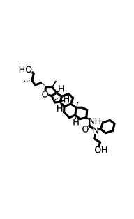 C[C@H](CO)CC[C@H]1OC2C[C@H]3[C@@H]4CC[C@@H]5C[C@H](NC(=O)N(CCO)C6CCCCC6)CC[C@]5(C)C4CC[C@]3(C)[C@H]2[C@@H]1C